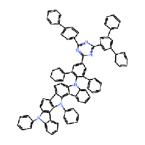 C1=CCC(c2cc(-c3ccccc3)cc(-c3nc(-c4ccc(-c5ccccc5)cc4)nc(-c4cc(C5=CCCC=C5)c(-n5c6ccccc6c6c5ccc5c7ccc8c(c9ccccc9n8-c8ccccc8)c7n(-c7ccccc7)c56)c(-c5ccccc5)c4)n3)c2)C=C1